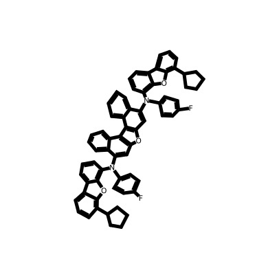 Fc1ccc(N(c2cc3oc4cc(N(c5ccc(F)cc5)c5cccc6c5oc5c(C7CCCC7)cccc56)c5ccccc5c4c3c3ccccc23)c2cccc3c2oc2c(C4CCCC4)cccc23)cc1